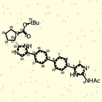 CC(=O)Nc1ncc(-c2ccc(-c3ccc(-c4cnc([C@@H]5CCCN5C(=O)OC(C)(C)C)[nH]4)cc3)cc2)[nH]1